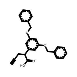 C#CCC(C(=O)O)c1cc(OCc2ccccc2)cc(OCc2ccccc2)c1